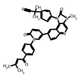 CC(C)=CC(=O)c1ccc(-n2cc(-c3ccc4ncc5c(c4c3)n(-c3ccc(C(C)(C)C#N)cc3)c(=O)n5C)ccc2=O)cc1